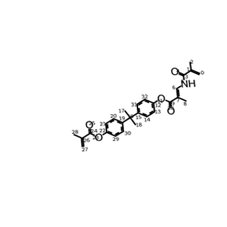 C=C(C)C(=O)NC=C(C)C(=O)Oc1ccc(C(C)(C)c2ccc(OC(=O)C(=C)C)cc2)cc1